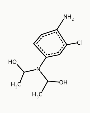 CC(O)N(c1ccc(N)c(Cl)c1)C(C)O